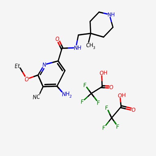 CCOc1nc(C(=O)NCC2(C)CCNCC2)cc(N)c1C#N.O=C(O)C(F)(F)F.O=C(O)C(F)(F)F